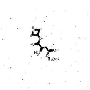 C=C(CC(=O)OCCCCCCCC)C(=O)OC1COC1